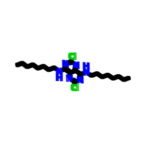 CCCCCCCCNc1nc(Cl)nc2c(NCCCCCCCC)nc(Cl)nc12